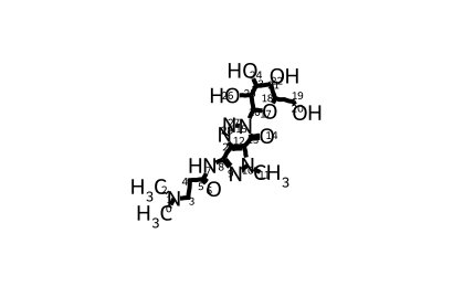 CN(C)CCC(=O)Nc1nn(C)c2c(=O)n(C3OC(CO)C(O)C(O)C3O)nnc12